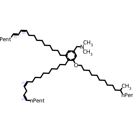 CCCCC/C=C\C/C=C\CCCCCCCCCc1c(CCCCCCCCC/C=C\C=C\CCCCC)cc(CN(C)C)cc1OCCCCCCCCCCC(C)CCCCC